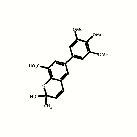 COc1cc(-c2cc3c(c(C(=O)O)c2)OC(C)(C)C=C3)cc(OC)c1OC